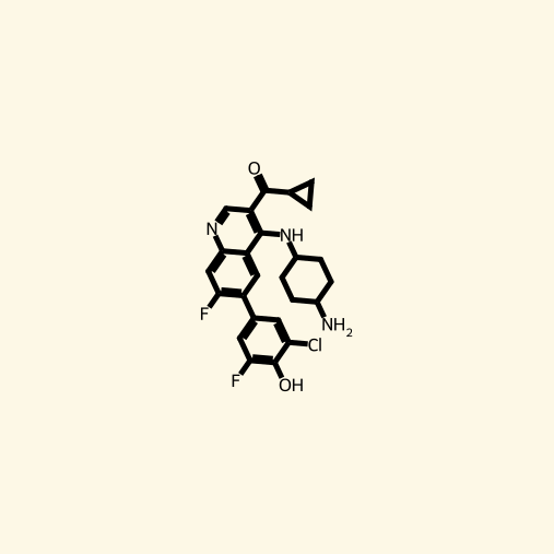 NC1CCC(Nc2c(C(=O)C3CC3)cnc3cc(F)c(-c4cc(F)c(O)c(Cl)c4)cc23)CC1